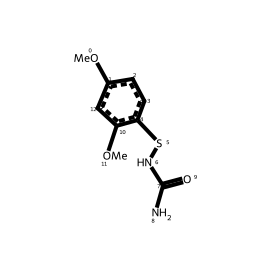 COc1ccc(SNC(N)=O)c(OC)c1